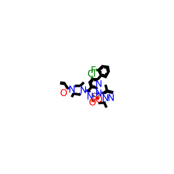 C=CC(=O)N1CC(C)N(C2=NS(=O)(=O)N(c3c(C)cnn3C(C)C)c3nc(-c4ccccc4F)c(Cl)cc32)CC1C